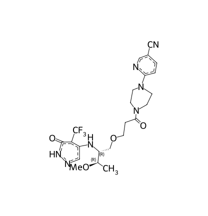 CO[C@H](C)[C@@H](COCCC(=O)N1CCN(c2ccc(C#N)cn2)CC1)Nc1cn[nH]c(=O)c1C(F)(F)F